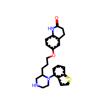 O=C1CCc2cc(OCCCC3CNCCN3c3cccc4sccc34)ccc2N1